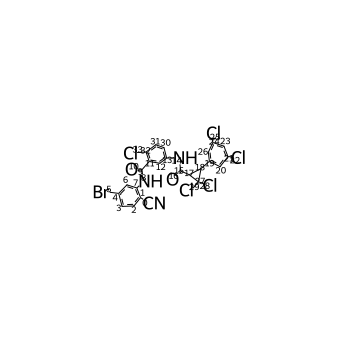 N#Cc1ccc(Br)cc1NC(=O)c1cc(NC(=O)C2C(c3cc(Cl)cc(Cl)c3)C2(Cl)Cl)ccc1Cl